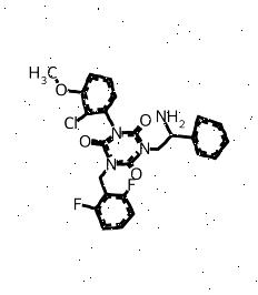 COc1cccc(-n2c(=O)n(Cc3c(F)cccc3F)c(=O)n(CC(N)c3ccccc3)c2=O)c1Cl